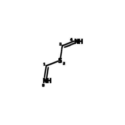 N=CSC=N